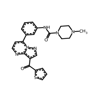 CN1CCN(C(=O)Nc2cccc(-c3ccnc4c(C(=O)c5cccs5)cnn34)c2)CC1